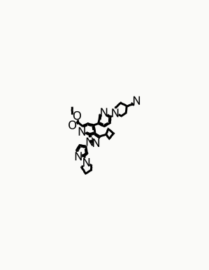 CCOC(=O)c1cc(-c2ccc(N3CCC(C#N)CC3)nc2)c2c(C3CCC3)nn(-c3ccnc(N4CCCC4)c3)c2n1